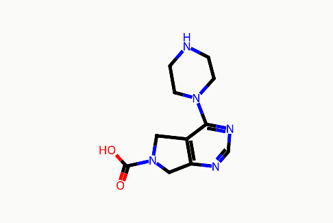 O=C(O)N1Cc2ncnc(N3CCNCC3)c2C1